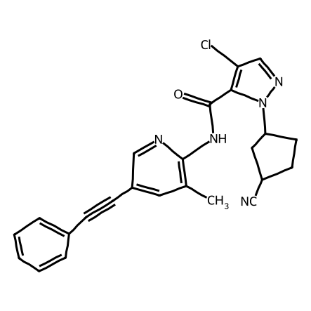 Cc1cc(C#Cc2ccccc2)cnc1NC(=O)c1c(Cl)cnn1C1CCC(C#N)C1